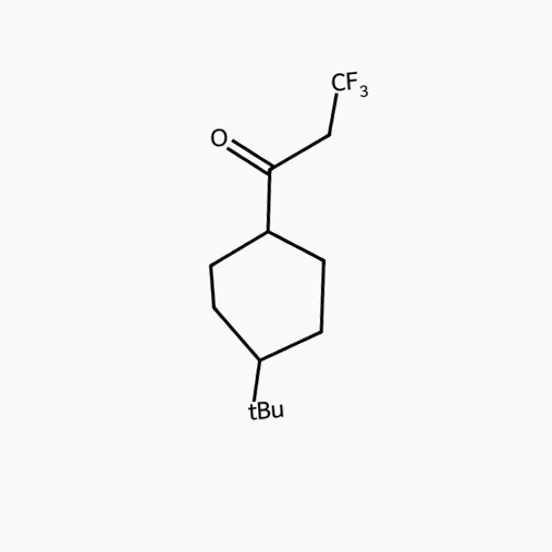 CC(C)(C)C1CCC(C(=O)CC(F)(F)F)CC1